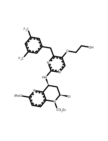 CCOC(=O)N1c2ccc(OC)nc2[C@@H](Nc2ncc(OCCO)c(Cc3cc(C(F)(F)F)cc(C(F)(F)F)c3)n2)C[C@H]1CC